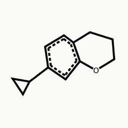 c1cc2c(cc1C1CC1)OCCC2